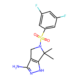 CC1(C)c2[nH]nc(N)c2CN1S(=O)(=O)c1cc(F)cc(F)c1